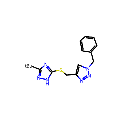 CC(C)(C)c1n[nH]c(SCc2cn(Cc3ccccc3)nn2)n1